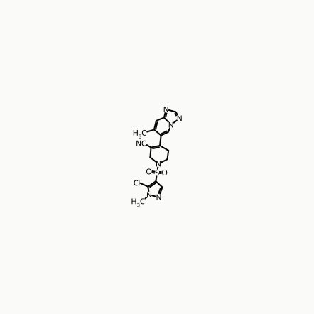 Cc1cc2ncnn2cc1C1=C(C#N)CN(S(=O)(=O)c2cnn(C)c2Cl)CC1